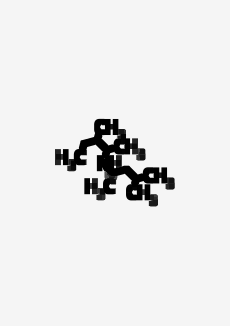 CCC(C)C(C)N[C@@H](C)CC(C)C